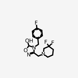 OC1ON=C(CN2CCCC(F)(F)C2)N1Cc1ccc(F)cc1